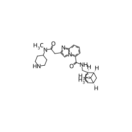 CN(C(=O)Cc1cn2c(C(=O)NC[C@@H]3CC[C@@H]4C[C@H]3C4(C)C)cccc2n1)C1CCNCC1